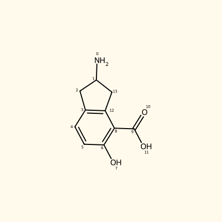 NC1Cc2ccc(O)c(C(=O)O)c2C1